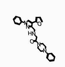 O=C(CNCc1nn(-c2ccccc2)cc1-c1ccco1)N1CCN(c2ccccc2)CC1